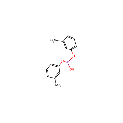 O=[N+]([O-])c1cccc(OP(O)Oc2cccc([N+](=O)[O-])c2)c1